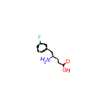 N[C@H](CCC(=O)O)Cc1cccc(F)c1